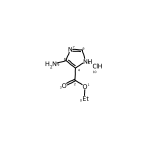 CCOC(=O)c1[nH]cnc1N.Cl